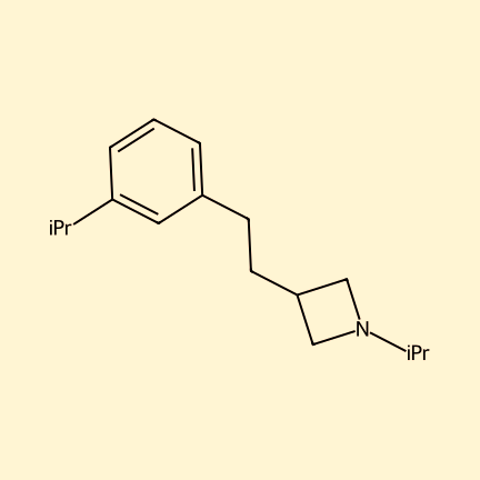 CC(C)c1cccc(CCC2CN(C(C)C)C2)c1